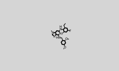 CCc1cc(F)cc(F)c1Nc1cc2c(ncn2C)c(NCc2ccc(OC)cc2OC)n1